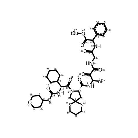 CCCC(NC(=O)[C@@H]1CC2(CN1C(=O)[C@@H](NC(=O)OC1CCOCC1)C1CCCCC1)SCCCS2)C(=O)C(=O)NCC(=O)NC(C(=O)OC(C)(C)C)c1ccccc1